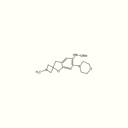 CONc1cc2c(cc1N1CCOCC1)OC1(C2)CN(C)C1